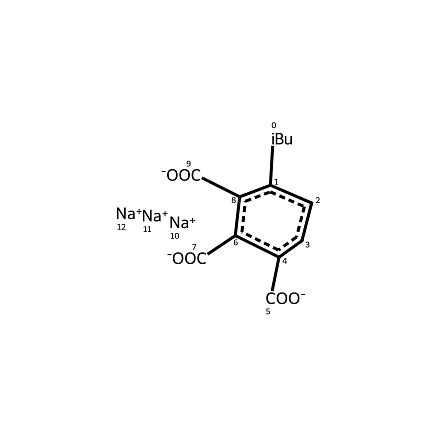 CCC(C)c1ccc(C(=O)[O-])c(C(=O)[O-])c1C(=O)[O-].[Na+].[Na+].[Na+]